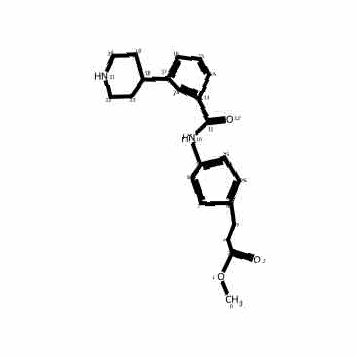 COC(=O)CCc1ccc(NC(=O)c2cccc(C3CCNCC3)c2)cc1